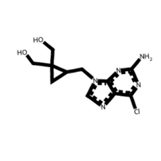 Nc1nc(Cl)c2ncn(CC3CC3(CO)CO)c2n1